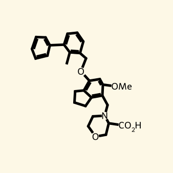 COc1cc(OCc2cccc(-c3ccccc3)c2C)c2c(c1CN1CCOCC1C(=O)O)CCC2